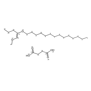 CCCCCCCCCCCCCCOC(=COC)CCC.O=C(O)CCC(=O)O